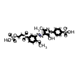 COc1ccc(S(=O)(=O)CCOS(=O)(=O)O)cc1/N=N/c1c(C)nn(-c2ccc(S(=O)(=O)O)cc2)c1O